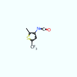 Cc1sc(C(F)(F)F)cc1N=C=O